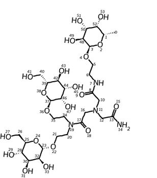 C[C@@H]1O[C@@H](OCCNC(=O)CN(CC(N)=O)CC(=O)N(CCO[C@H]2O[C@H](CO)[C@@H](O)[C@H](O)[C@@H]2O)CCO[C@H]2O[C@H](CO)[C@@H](O)[C@H](O)[C@@H]2O)[C@@H](O)[C@H](O)[C@@H]1O